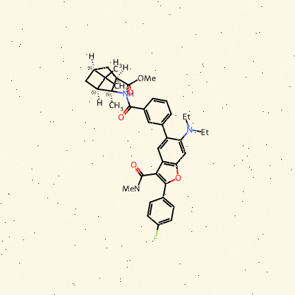 CCN(CC)c1cc2oc(-c3ccc(F)cc3)c(C(=O)NC)c2cc1-c1cccc(C(=O)N[C@]2(C)[C@H](C(=O)OC)C[C@@H]3C[C@H]2C3(C)C)c1